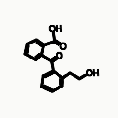 O=C(O)c1ccccc1C(=O)c1ccccc1CCO